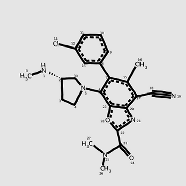 CN[C@H]1CCN(c2c(-c3cccc(Cl)c3)c(C)c(C#N)c3nc(C(=O)N(C)C)oc23)C1